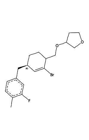 Cc1ccc(C[C@@H]2C=C(Br)C(COC3CCOC3)CC2)cc1F